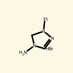 Br.CCN1CN(N)C=N1